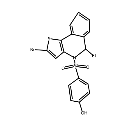 CCC1c2ccccc2-c2sc(Br)cc2N1S(=O)(=O)c1ccc(O)cc1